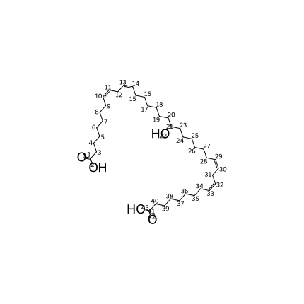 O=C(O)CCCCCCC/C=C\C/C=C\CCCCCCC(O)CCCCCC/C=C\C/C=C\CCCCCCCC(=O)O